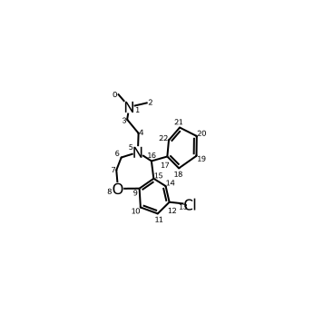 CN(C)CCN1CCOc2ccc(Cl)cc2C1c1ccccc1